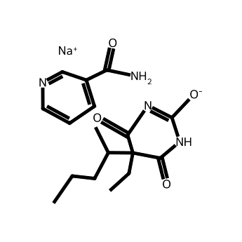 CCCC(C)C1(CC)C(=O)N=C([O-])NC1=O.NC(=O)c1cccnc1.[Na+]